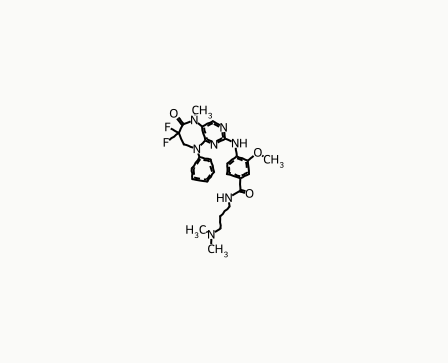 COc1cc(C(=O)NCCCN(C)C)ccc1Nc1ncc2c(n1)N(c1ccccc1)CC(F)(F)C(=O)N2C